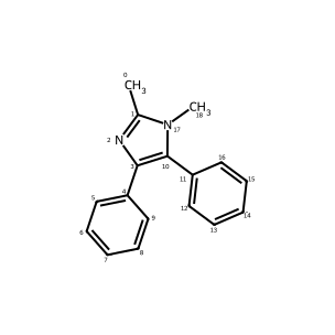 Cc1nc(-c2cc[c]cc2)c(-c2cc[c]cc2)n1C